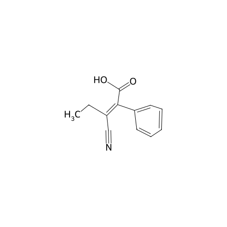 CC/C(C#N)=C(\C(=O)O)c1ccccc1